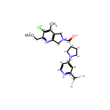 COCc1nc2c(c(C)c1Cl)CN(C(=O)[C@@H]1CCN(c3ccnc(C(F)F)c3)C1)C2